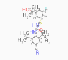 CC(C)c1cc(C#N)cc(C(C)C)c1NC(=O)NSc1cc(F)cc(C(C)(C)O)c1